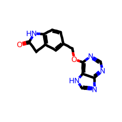 O=C1Cc2cc(COc3ncnc4nc[nH]c34)ccc2N1